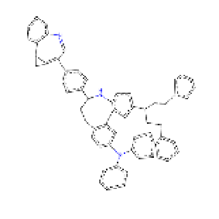 C1=Nc2ccccc2C2CC2=C1c1ccc(C2CCc3ccc(N(c4ccccc4)c4ccccc4)cc3-c3cc(C(CCc4ccccc4)CCc4ccccc4)ccc3N2)cc1